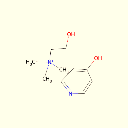 C[N+](C)(C)CCO.Oc1ccncc1